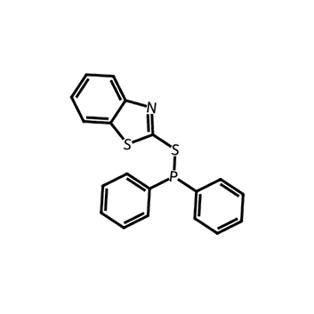 c1ccc(P(Sc2nc3ccccc3s2)c2ccccc2)cc1